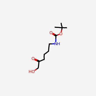 CC(C)(C)OC(=O)NCCCCC(=O)CO